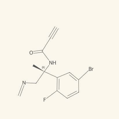 C#CC(=O)N[C@@](C)(CN=C)c1cc(Br)ccc1F